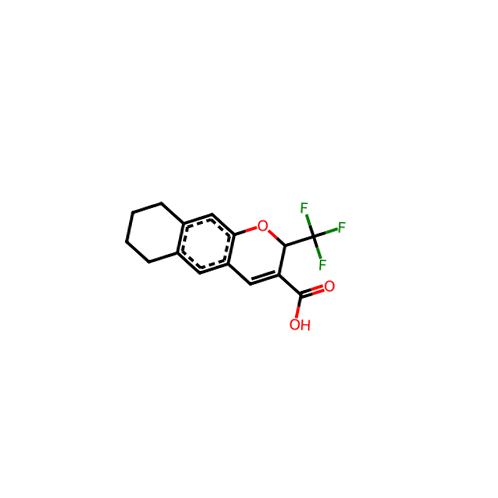 O=C(O)C1=Cc2cc3c(cc2OC1C(F)(F)F)CCCC3